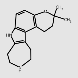 CC1(C)CCc2c(ccc3[nH]c4c(c23)CCNCC4)O1